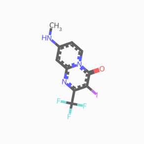 CNc1ccn2c(=O)c(I)c(C(F)(F)F)nc2c1